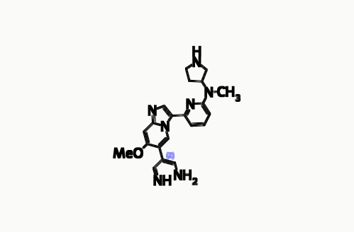 COc1cc2ncc(-c3cccc(N(C)C4CCNC4)n3)n2cc1/C(C=N)=C/N